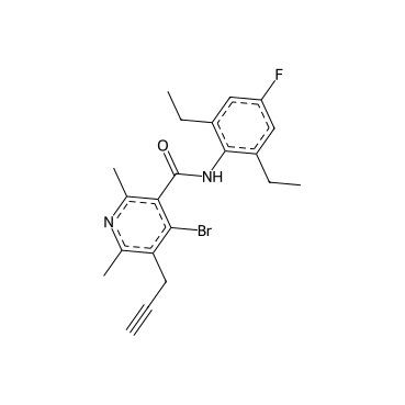 C#CCc1c(C)nc(C)c(C(=O)Nc2c(CC)cc(F)cc2CC)c1Br